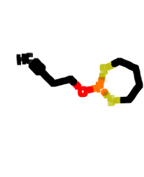 C#CCCOP1SCCCCS1